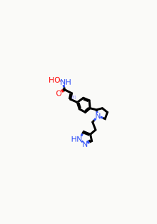 O=C(/C=C/c1ccc(C2CCCN2CCc2cn[nH]c2)cc1)NO